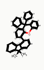 CC1(C)c2ccccc2-c2c(-c3cccc4c3Oc3ccccc3C4(c3ccccc3)c3ccccc3)cccc21